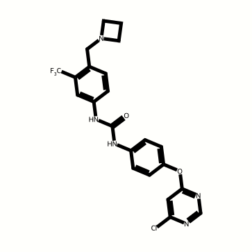 O=C(Nc1ccc(Oc2cc(Cl)ncn2)cc1)Nc1ccc(CN2CCC2)c(C(F)(F)F)c1